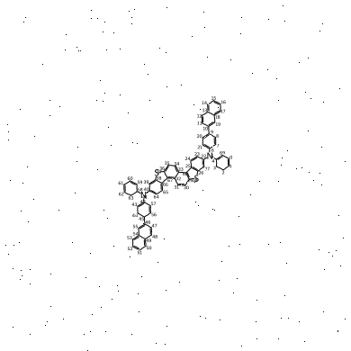 C1=CCCC(N(c2ccc(-c3ccc4ccccc4c3)cc2)c2ccc3c(c2)sc2ccc4c(ccc5sc6cc(N(C7=CCC(c8ccc9ccccc9c8)C=C7)C7C=CC=CC7)ccc6c54)c23)=C1